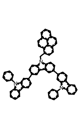 c1ccc(-n2c3ccccc3c3ccc(-c4ccc5c(c4)c4cc(-c6ccc7c8ccccc8n(-c8ccccc8)c7c6)ccc4n5Cc4ccc5ccc6cccc7ccc4c5c67)cc32)cc1